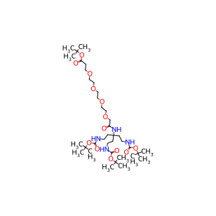 CC(C)(C)OC(=O)CCOCCOCCOCCOCC(=O)NC(CCNC(=O)OC(C)(C)C)(CCNC(=O)OC(C)(C)C)CCNC(=O)OC(C)(C)C